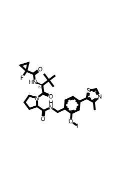 Cc1ncsc1-c1ccc(CNC(=O)C2CCCN2C(=O)[C@@H](NC(=O)C2(F)CC2)C(C)(C)C)c(OI)c1